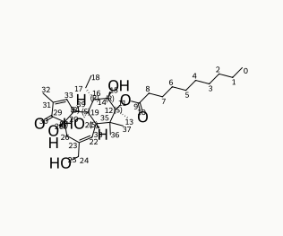 CCCCCCCCCC(=O)O[C@]1(C)[C@H](O)[C@@H](CC)[C@@]2(O)[C@@H](C=C(CO)C[C@]3(O)C(=O)C(C)=C[C@@H]23)C1(C)C